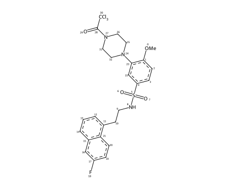 COc1ccc(S(=O)(=O)NCCc2cccc3cc(F)ccc23)cc1N1CCN(C(=O)C(Cl)(Cl)Cl)CC1